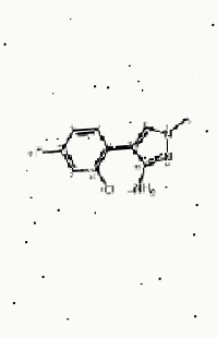 Cn1cc(-c2ccc(F)cc2Cl)c(N)n1